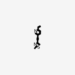 C=Cc1ccc(C#Cc2csc(C)n2)cn1